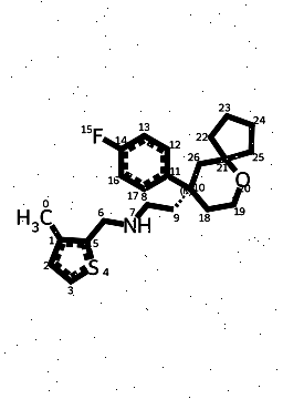 Cc1ccsc1CNCC[C@@]1(c2ccc(F)cc2)CCOC2(CCCC2)C1